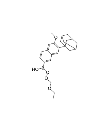 CCOCOOB(O)c1ccc2cc(OC)c(C34CC5CC(CC(C5)C3)C4)cc2c1